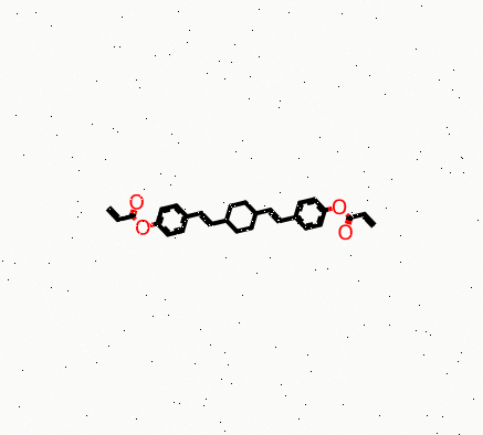 C=CC(=O)Oc1ccc(/C=C/C2CCC(/C=C/c3ccc(OC(=O)C=C)cc3)CC2)cc1